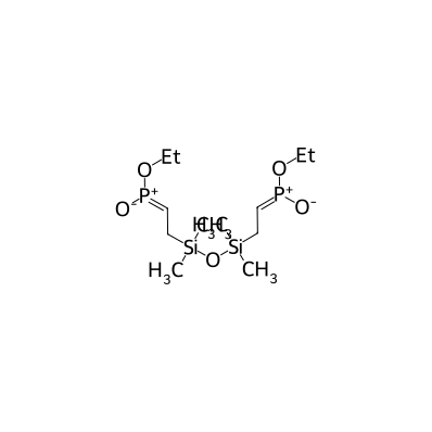 CCO/[P+]([O-])=C/C[Si](C)(C)O[Si](C)(C)C/C=[P+](\[O-])OCC